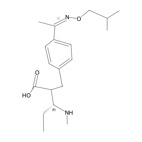 CC[C@@H](NC)C(Cc1ccc(/C(C)=N\OCC(C)C)cc1)C(=O)O